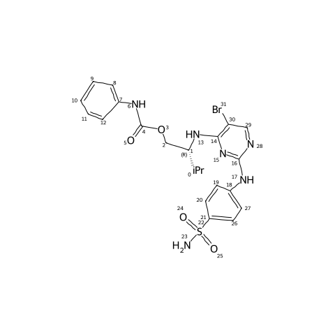 CC(C)[C@H](COC(=O)Nc1ccccc1)Nc1nc(Nc2ccc(S(N)(=O)=O)cc2)ncc1Br